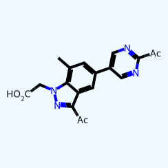 CC(=O)c1ncc(-c2cc(C)c3c(c2)c(C(C)=O)nn3CC(=O)O)cn1